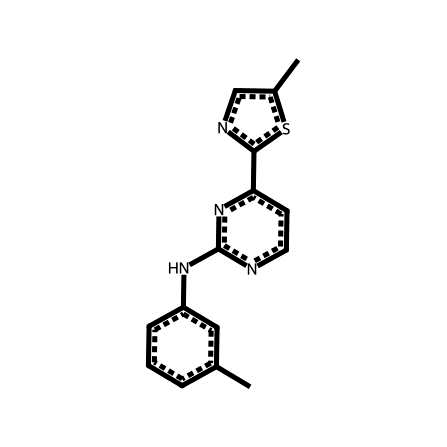 Cc1cccc(Nc2nccc(-c3ncc(C)s3)n2)c1